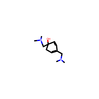 CN(C)CC1=CCC(O)(CN(C)C)C=C1